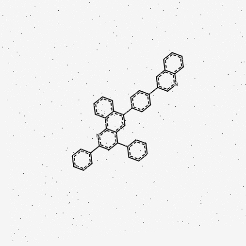 c1ccc(-c2cc(-c3ccccc3)c3cc(-c4ccc(-c5cnc6ccccc6c5)cc4)c4ccccc4c3n2)cc1